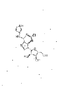 OCC1O[C@@H](n2cnc3c(Nc4cc[nH]c4)nc(Cl)nc32)[C@H](O)[C@@H]1O